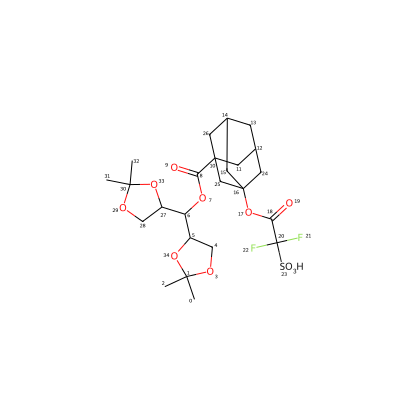 CC1(C)OCC(C(OC(=O)C23CC4CC(CC(OC(=O)C(F)(F)S(=O)(=O)O)(C4)C2)C3)C2COC(C)(C)O2)O1